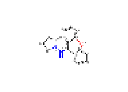 c1ccc2c(c1)Oc1ccccc1C2NN1CCCC1